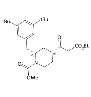 CCOC(=O)CC(=O)[C@@H]1CCN(C(=O)OC)[C@H](Cc2cc(C(C)(C)C)cc(C(C)(C)C)c2)C1